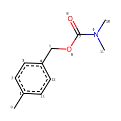 Cc1ccc(COC(=O)N(C)C)cc1